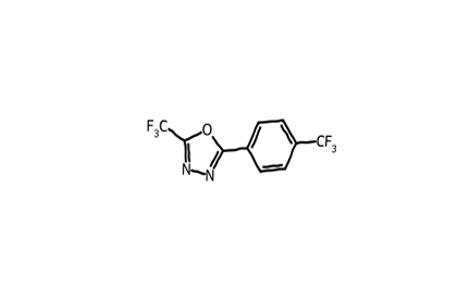 FC(F)(F)c1ccc(-c2nnc(C(F)(F)F)o2)cc1